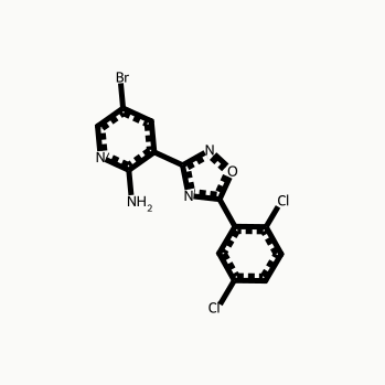 Nc1ncc(Br)cc1-c1noc(-c2cc(Cl)ccc2Cl)n1